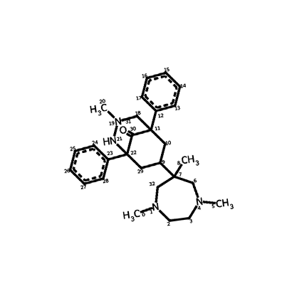 CN1CCN(C)CC(C)(C2CC3(c4ccccc4)CN(C)NC(c4ccccc4)(C2)C3=O)C1